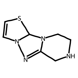 C1=CN2N=C3CNCCN3C2S1